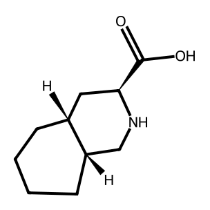 O=C(O)[C@@H]1C[C@H]2CCCC[C@H]2CN1